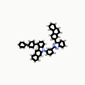 c1ccc(-c2ccc(-c3cccc4c3c3cc5ccccc5cc3n4-c3cccc(-c4nc(-c5ccc6c(ccc7ccccc76)c5)c5ccccc5n4)c3)cc2)cc1